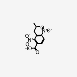 CC(C)Cc1c([N+](=O)[O-])ccc(C(=O)O)c1[N+](=O)[O-]